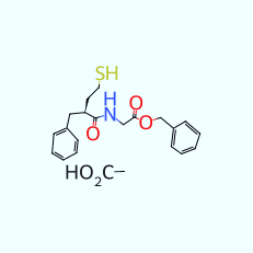 CC(=O)O.O=C(CNC(=O)[C@H](CCS)Cc1ccccc1)OCc1ccccc1